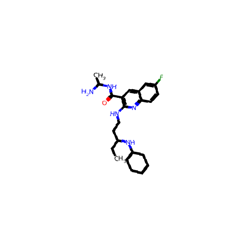 CCC(CCNc1nc2ccc(F)cc2cc1C(=O)NC(C)N)NC1CCCCC1